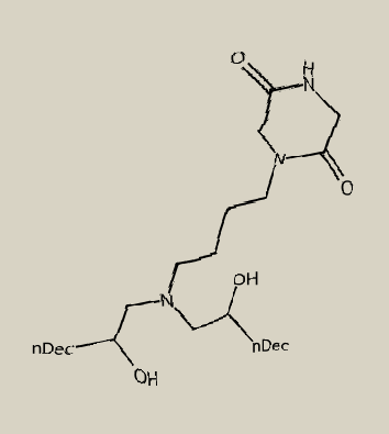 CCCCCCCCCCC(O)CN(CCCCN1CC(=O)NCC1=O)CC(O)CCCCCCCCCC